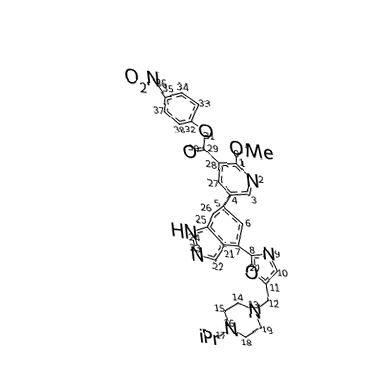 COc1ncc(-c2cc(-c3ncc(CN4CCN(C(C)C)CC4)o3)c3cn[nH]c3c2)cc1C(=O)Oc1ccc([N+](=O)[O-])cc1